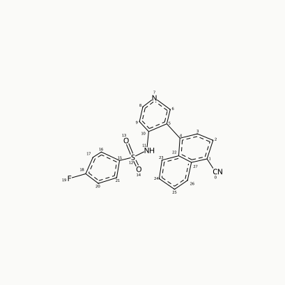 N#Cc1ccc(-c2cnccc2NS(=O)(=O)c2ccc(F)cc2)c2ccccc12